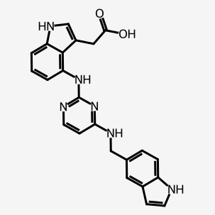 O=C(O)Cc1c[nH]c2cccc(Nc3nccc(NCc4ccc5[nH]ccc5c4)n3)c12